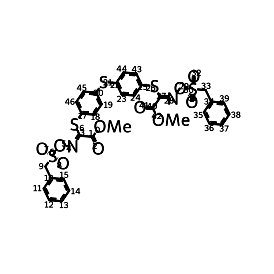 COC(=O)/C(=N/OS(=O)(=O)Cc1ccccc1)Sc1ccc(Sc2ccc(S/C(=N\OS(=O)(=O)Cc3ccccc3)C(=O)OC)cc2)cc1